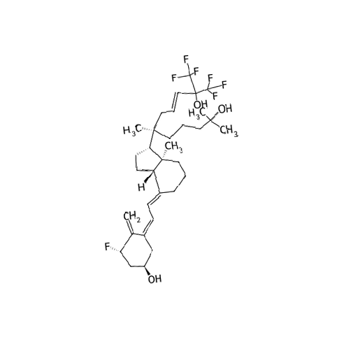 C=C1/C(=C\C=C2/CCC[C@]3(C)[C@@H]([C@@](C)(C/C=C/C(O)(C(F)(F)F)C(F)(F)F)CCCC(C)(C)O)CC[C@@H]23)C[C@@H](O)C[C@@H]1F